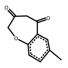 Cc1ccc2c(c1)C(=O)CC(=O)CO2